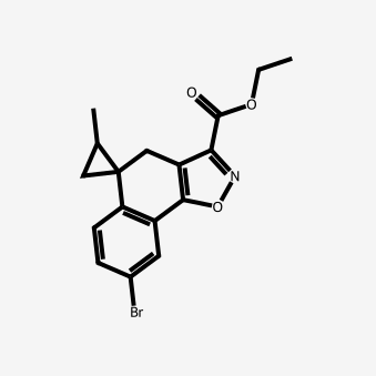 CCOC(=O)c1noc2c1CC1(CC1C)c1ccc(Br)cc1-2